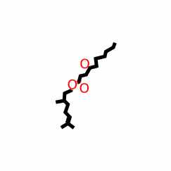 CCCCCCC(=O)CCC(=O)OCCC(C)CCC=C(C)C